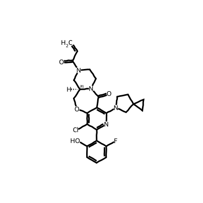 C=CC(=O)N1CCN2C(=O)c3c(N4CCC5(CC5)C4)nc(-c4c(O)cccc4F)c(Cl)c3OC[C@H]2C1